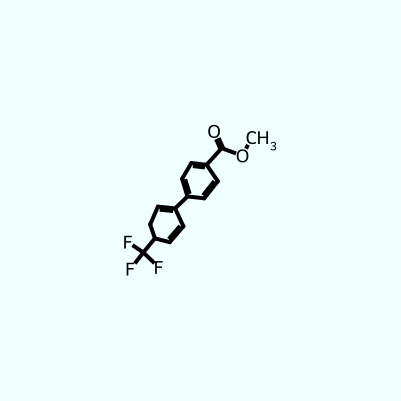 COC(=O)c1ccc(C2=CCC(C(F)(F)F)C=C2)cc1